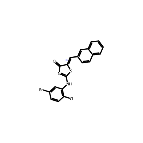 O=C1N=C(Nc2cc(Br)ccc2Cl)S/C1=C\c1ccc2ccccc2c1